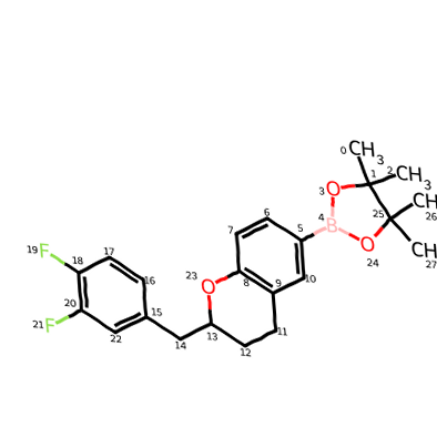 CC1(C)OB(c2ccc3c(c2)CCC(Cc2ccc(F)c(F)c2)O3)OC1(C)C